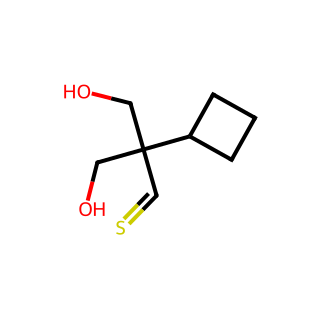 OCC(C=S)(CO)C1CCC1